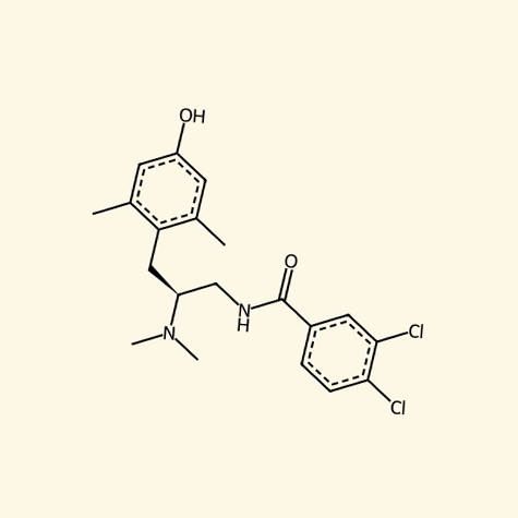 Cc1cc(O)cc(C)c1C[C@@H](CNC(=O)c1ccc(Cl)c(Cl)c1)N(C)C